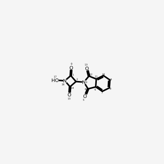 O=C1C(N2C(=O)c3ccccc3C2=O)C(=O)N1O